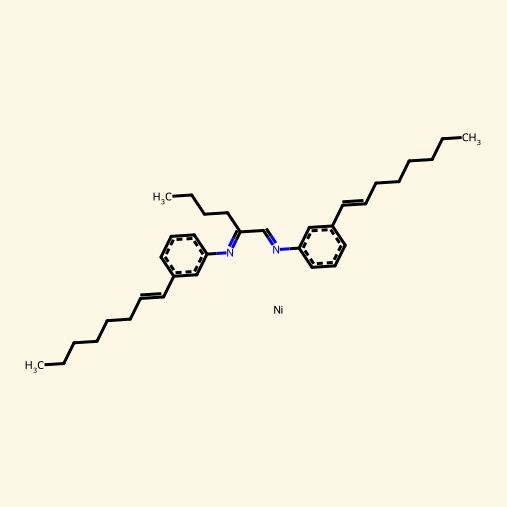 CCCCCCC=Cc1cccc(N=CC(CCCC)=Nc2cccc(C=CCCCCCC)c2)c1.[Ni]